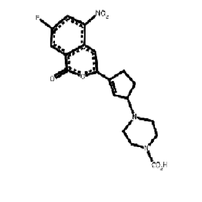 O=C(O)N1CCN(C2C=C(c3cc4c([N+](=O)[O-])cc(F)cc4c(=O)o3)CC2)CC1